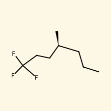 CCC[C@H](C)CCC(F)(F)F